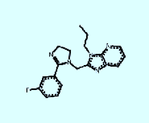 CCCn1c(CN2CCN=C2c2cccc(F)c2)nc2cccnc21